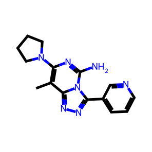 Cc1c(N2CCCC2)nc(N)n2c(-c3cccnc3)nnc12